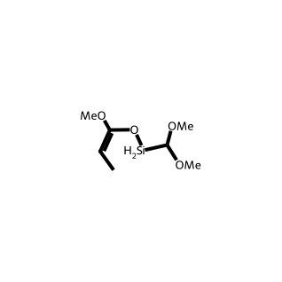 CC=C(OC)O[SiH2]C(OC)OC